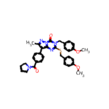 COc1ccc(CSc2nc3c(-c4ccc(C(=O)N5CCCC5)cc4)c(C)nn3c(=O)n2Cc2ccc(OC)cc2)cc1